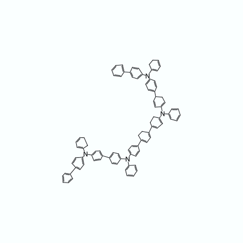 C1=CCCC(N(c2ccc(-c3ccccc3)cc2)c2ccc(-c3ccc(N(c4ccccc4)c4ccc(C5=CC=C(C6=CC=C(N(C7=CCC(c8ccc(N(C9=CC=CCC9)c9ccc(-c%10ccccc%10)cc9)cc8)C=C7)c7ccccc7)CC6)CC5)cc4)cc3)cc2)=C1